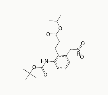 CC(C)OC(=O)CCc1c(C[SH](=O)=O)cccc1NC(=O)OC(C)(C)C